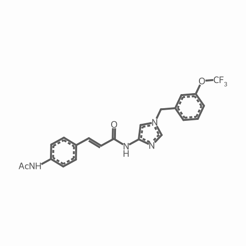 CC(=O)Nc1ccc(/C=C/C(=O)Nc2cn(Cc3cccc(OC(F)(F)F)c3)cn2)cc1